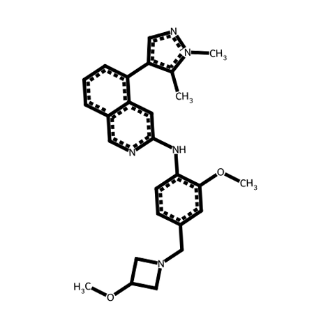 COc1cc(CN2CC(OC)C2)ccc1Nc1cc2c(-c3cnn(C)c3C)cccc2cn1